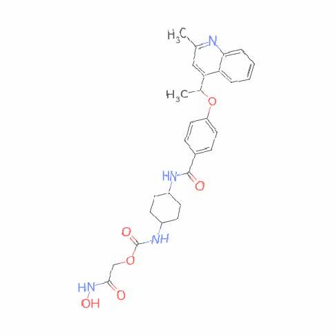 Cc1cc(C(C)Oc2ccc(C(=O)NC3CCC(NC(=O)OCC(=O)NO)CC3)cc2)c2ccccc2n1